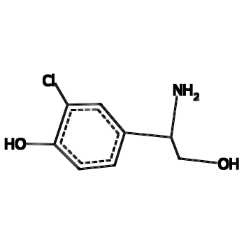 NC(CO)c1ccc(O)c(Cl)c1